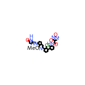 COc1nc(-c2cccc(-c3cccc(NC(=O)c4cn(C)c(=O)n(C)c4=O)c3Cl)c2C)cc2c1[C@H](NC[C@@H]1CCC(=O)N1)CC2